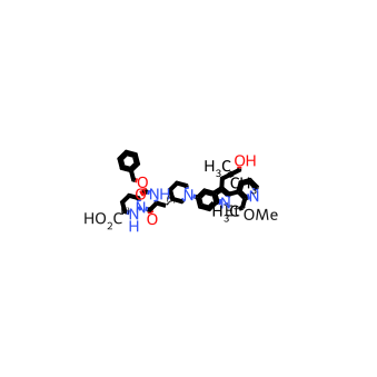 CCn1c(-c2cccnc2C(C)OC)c(CC(C)(C)CO)c2cc(N3CCC[C@@H](CC(NC(=O)OCc4ccccc4)C(=O)N4CCC[C@@H](C(=O)O)N4)C3)ccc21